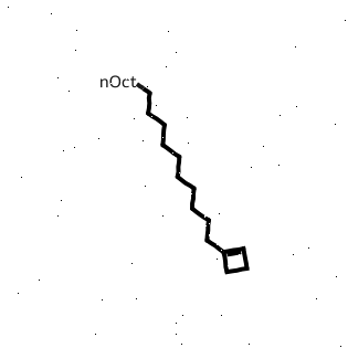 [CH2]CCCCCCCCCCCCCCCCCC1=CCC1